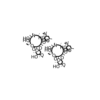 CC[C@H]1OC(=O)[C@H](C)[C@@H](O[C@H]2C[C@@](C)(OC)[C@@H](O)[C@H](C)O2)[C@H](C)[C@@H](O[C@@H]2O[C@H](C)C[C@H](N(C)C)[C@H]2O)[C@](C)(O)C[C@@H](C)CN(C)[C@H](C)[C@@H](O)[C@]1(C)O.CC[C@H]1OC(=O)[C@H](C)[C@@H](O[C@H]2C[C@@](C)(OC)[C@@H](O)[C@H](C)O2)[C@H](C)[C@@H](O[C@@H]2O[C@H](C)C[C@H](N(C)C)[C@H]2O)[C@](C)(O)C[C@@H](C)CN(C)[C@H](C)[C@@H](O)[C@]1(C)O